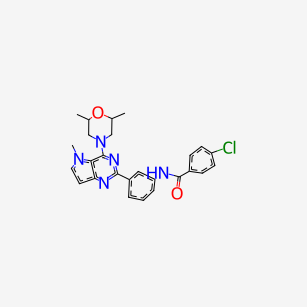 CC1CN(c2nc(-c3cccc(NC(=O)c4ccc(Cl)cc4)c3)nc3ccn(C)c23)CC(C)O1